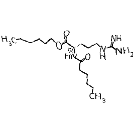 CCCCCCOC(=O)[C@H](CCCNC(=N)N)NC(=O)CCCCC